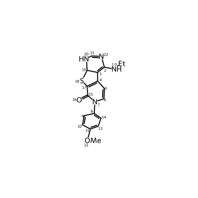 CCNC1=C2c3ccn(-c4ccc(OC)cc4)c(=O)c3SC2NC=N1